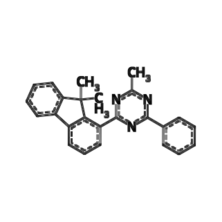 Cc1nc(-c2ccccc2)nc(-c2cccc3c2C(C)(C)c2ccccc2-3)n1